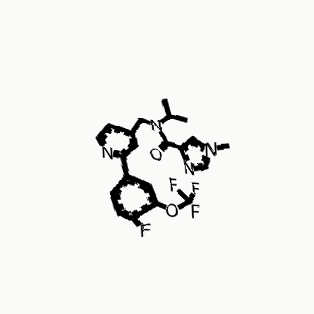 CC(C)N(Cc1ccnc(-c2ccc(F)c(OC(F)(F)F)c2)c1)C(=O)c1cn(C)cn1